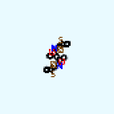 S=C1C(=Cc2nc3c(s2)-c2cc4c(cc2C2(CCCCC2)O3)-c2sc(C=C3C(=S)c5ccccc5C3=S)nc2OC42CCCCC2)C(=S)c2ccccc21